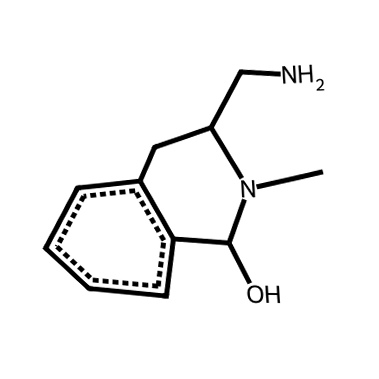 CN1C(CN)Cc2ccccc2C1O